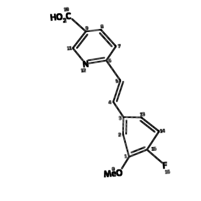 COc1cc(C=Cc2ccc(C(=O)O)cn2)ccc1F